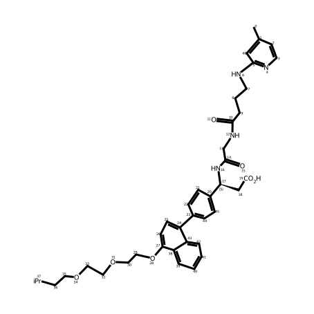 Cc1ccnc(NCCCC(=O)NCC(=O)N[C@@H](CC(=O)O)c2ccc(-c3ccc(OCCOCCOCCC(C)C)c4ccccc34)cc2)c1